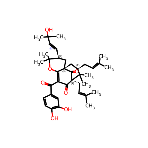 CC(C)=CC[C@@H]1C[C@]23C[C@H](/C=C/C(C)(C)O)C(C)(C)OC2=C(C(=O)c2ccc(O)c(O)c2)C(=O)[C@@](CC=C(C)C)(C3=O)C1(C)C